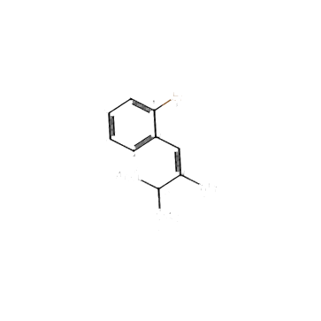 CCCC(=Cc1ccccc1Br)C(OC(C)=O)OC(C)=O